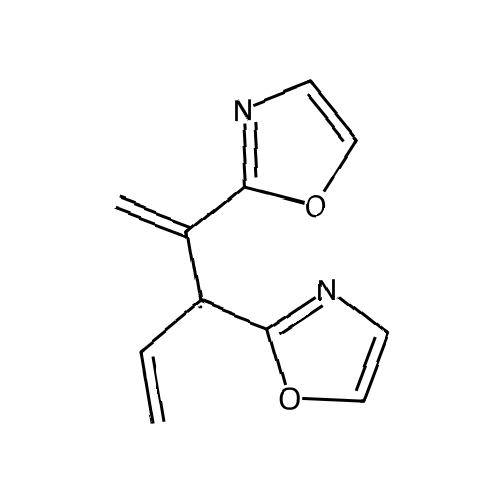 C=C[C](C(=C)c1ncco1)c1ncco1